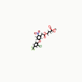 COC(=O)CCCOC(=O)Cc1cc(Oc2ccc(C(F)(F)F)cc2Cl)ccc1[N+](=O)[O-]